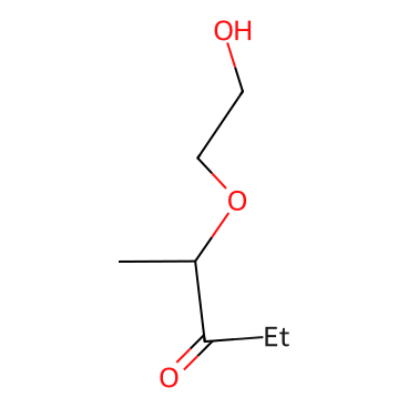 CCC(=O)C(C)OCCO